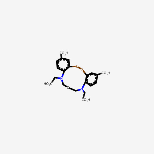 O=C(O)CN1CCCN(CC(=O)O)c2ccc(C(=O)O)cc2SSc2cc(C(=O)O)ccc21